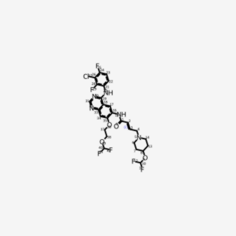 O=C(/C=C/CN1CCC(OC(F)F)CC1)Nc1cc2c(Nc3ccc(F)c(Cl)c3F)ncnc2cc1OCCOC(F)F